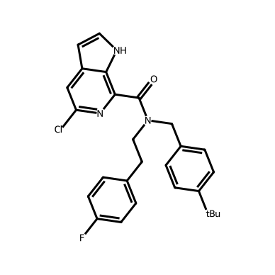 CC(C)(C)c1ccc(CN(CCc2ccc(F)cc2)C(=O)c2nc(Cl)cc3cc[nH]c23)cc1